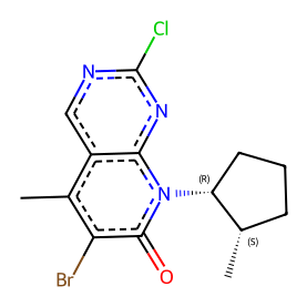 Cc1c(Br)c(=O)n([C@@H]2CCC[C@@H]2C)c2nc(Cl)ncc12